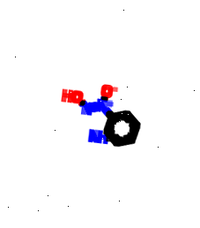 [NH].[O-]/[N+](=N\O)c1ccccc1